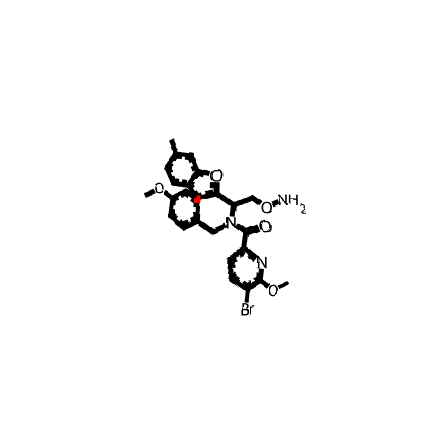 COc1ccc(CN(C(=O)c2ccc(Br)c(OC)n2)C(CON)c2cc3ccc(C)cc3o2)cc1